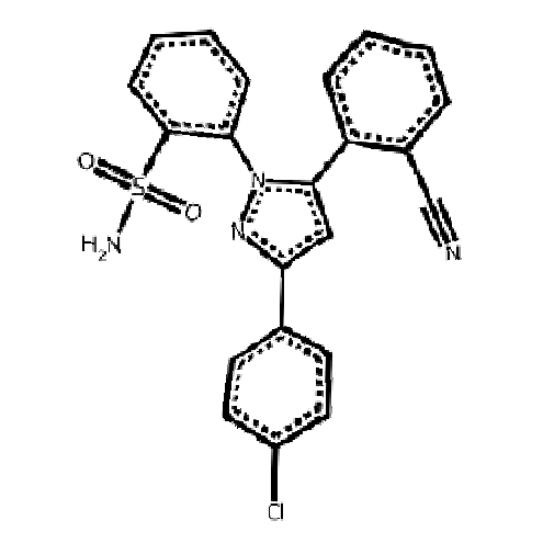 N#Cc1ccccc1-c1cc(-c2ccc(Cl)cc2)nn1-c1ccccc1S(N)(=O)=O